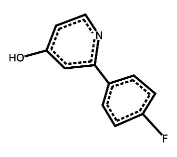 Oc1ccnc(-c2ccc(F)cc2)c1